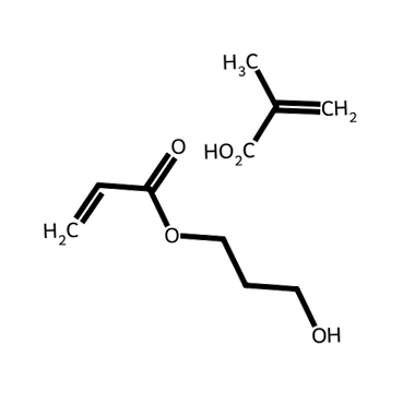 C=C(C)C(=O)O.C=CC(=O)OCCCO